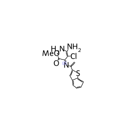 C=C(/N=C(/C(=O)OC)C(Cl)=C(N)N)c1cc2ccccc2s1